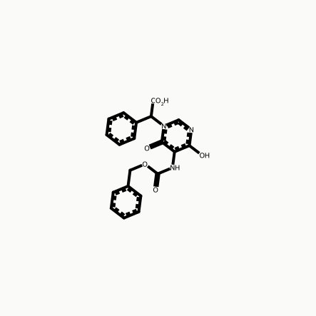 O=C(Nc1c(O)ncn(C(C(=O)O)c2ccccc2)c1=O)OCc1ccccc1